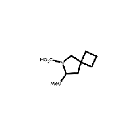 COC1CC2(CCC2)CN1C(=O)O